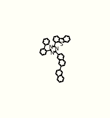 c1ccc(-c2ccccc2-c2nc(-c3ccc4ccc(-c5ccc6ccccc6c5)cc4c3)nc(-c3cccc4c3sc3ccccc34)n2)cc1